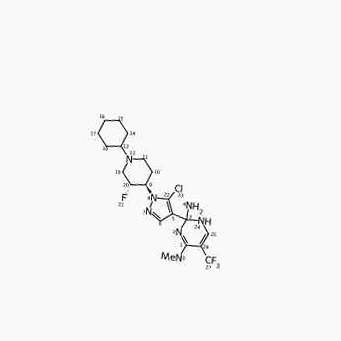 CNC1=NC(N)(c2cnn([C@@H]3CCN(C4CCCCC4)C[C@H]3F)c2Cl)NC=C1C(F)(F)F